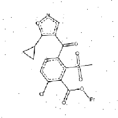 CC(C)OC(=O)c1c(Cl)ccc(C(=O)c2cnoc2C2CC2)c1S(C)(=O)=O